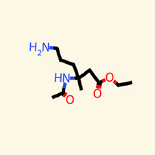 CCOC(=O)CC(C)(CCCN)NC(C)=O